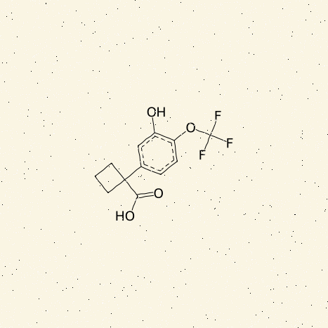 O=C(O)C1(c2ccc(OC(F)(F)F)c(O)c2)CCC1